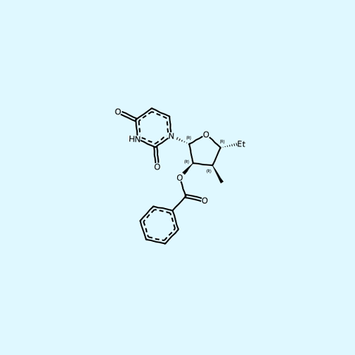 CC[C@H]1O[C@@H](n2ccc(=O)[nH]c2=O)[C@H](OC(=O)c2ccccc2)[C@@H]1C